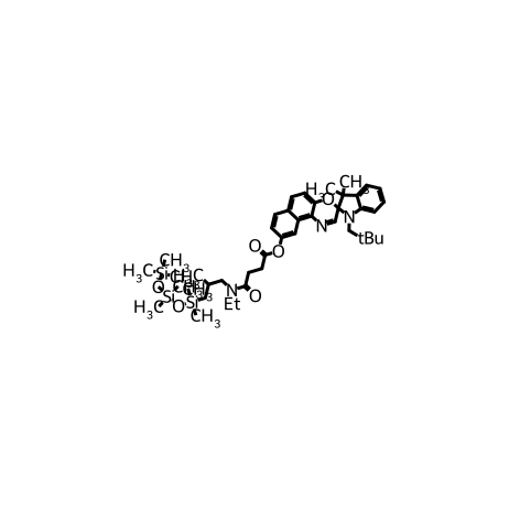 CCN(CC(C)C[Si](C)(C)O[Si](C)(C)O[Si](C)(C)C)C(=O)CCC(=O)Oc1ccc2ccc3c(c2c1)N=CC1(O3)N(CC(C)(C)C)c2ccccc2C1(C)C